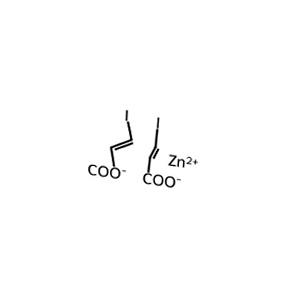 O=C([O-])C=CI.O=C([O-])C=CI.[Zn+2]